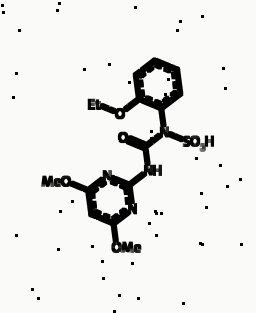 CCOc1ccccc1N(C(=O)Nc1nc(OC)cc(OC)n1)S(=O)(=O)O